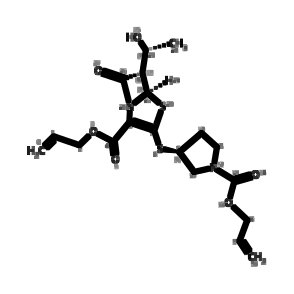 C=CCOC(=O)C1=C(S[C@H]2CCN(C(=O)OCC=C)C2)S[C@@H]2[C@@H]([C@@H](C)O)C(=O)N12